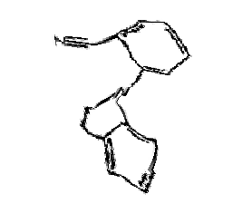 N#Cc1ccccc1N1CCc2ccccc21